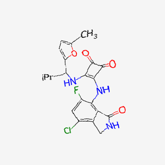 Cc1ccc(C(Nc2c(Nc3c(F)cc(Cl)c4c3C(=O)NC4)c(=O)c2=O)C(C)C)o1